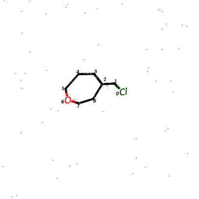 ClCC1CCCOCC1